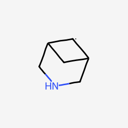 [CH]1C2CNCC1C2